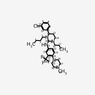 CCCCN1C(c2cccc(Cl)c2)CCN(CCC)C1Nc1ccc(N2CCN(C)CC2)c(C(F)(F)F)c1